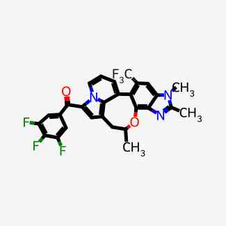 Cc1nc2c3c(c(C(F)(F)F)cc2n1C)-c1cccn2c(C(=O)c4cc(F)c(F)c(F)c4)cc(c12)CC(C)O3